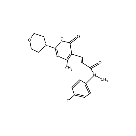 Cc1nc(N2CCOCC2)[nH]c(=O)c1C=CC(=O)N(C)c1ccc(F)cc1